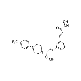 Cl.O=C(C=Cc1cccc(C=CC(=O)N2CCN(c3ccc(C(F)(F)F)cc3)CC2)c1)NO